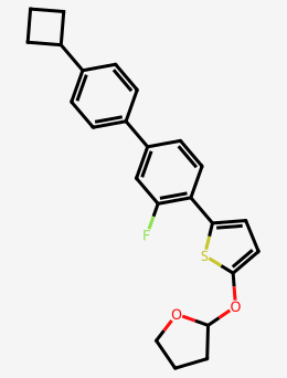 Fc1cc(-c2ccc(C3CCC3)cc2)ccc1-c1ccc(OC2CCCO2)s1